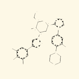 OC[C@H]1O[C@@H](c2nncn2-c2ccc(N3CCNCC3)c(Cl)c2)C[C@@H](n2cc(-c3cc(F)c(F)c(F)c3)nn2)[C@H]1O